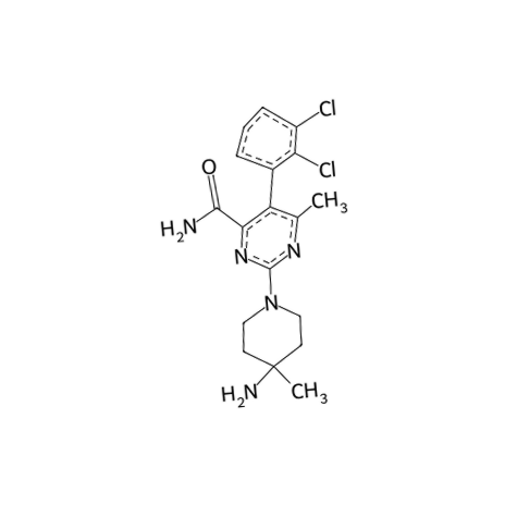 Cc1nc(N2CCC(C)(N)CC2)nc(C(N)=O)c1-c1cccc(Cl)c1Cl